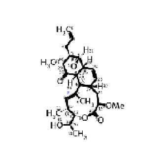 C=CC[C@H]1[C@@H]2O[C@@]34/C(C)=C/[C@@H](C)[C@@H]([C@@H](C)O)OC(=O)C(OC)C[C@H]3C=C[C@@H]2[C@H]4C(=O)[C@@H]1C